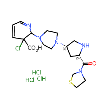 Cl.Cl.Cl.O=C([C@@H]1C[C@H](N2CCN(C3N=CC=CC3(Cl)C(=O)O)CC2)CN1)N1CCSC1